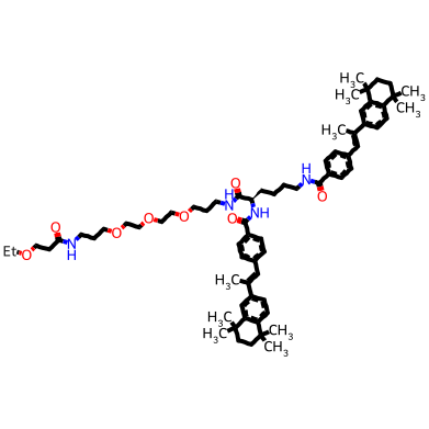 CCOCCC(=O)NCCCOCCOCCOCCCNC(=O)[C@@H](CCCCNC(=O)c1ccc(/C=C(\C)c2ccc3c(c2)C(C)(C)CCC3(C)C)cc1)NC(=O)c1ccc(/C=C(\C)c2ccc3c(c2)C(C)(C)CCC3(C)C)cc1